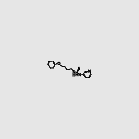 S=C(NCCCCOc1ccccc1)Nc1cccnc1